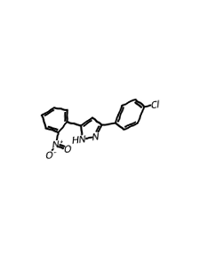 O=[N+]([O-])c1ccccc1-c1cc(-c2ccc(Cl)cc2)n[nH]1